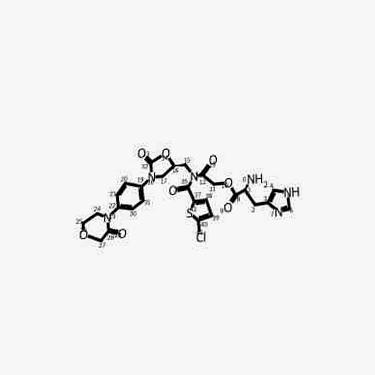 N[C@@H](Cc1c[nH]cn1)C(=O)OCC(=O)N(C[C@H]1CN(c2ccc(N3CCOCC3=O)cc2)C(=O)O1)C(=O)c1ccc(Cl)s1